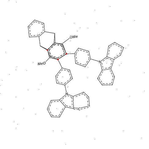 COc1c(-c2ccc(-n3c4ccccc4c4ccccc43)cc2)c(-c2ccc(-n3c4ccccc4c4ccccc43)cc2)c(OC)c2c1C1c3ccccc3C2c2ccccc21